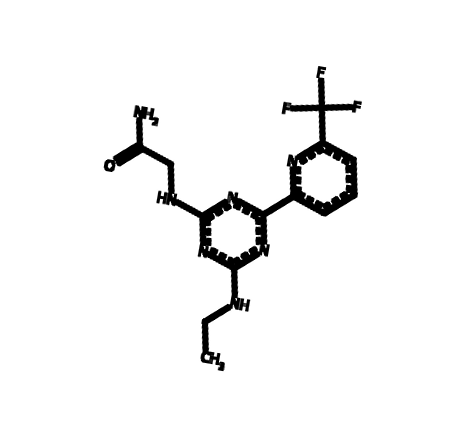 CCNc1nc(NCC(N)=O)nc(-c2cccc(C(F)(F)F)n2)n1